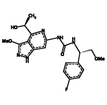 COC[C@@H](NC(=O)Nc1cc2[nH]nc(OC)c2c([C@H](C)O)n1)c1ccc(F)cc1